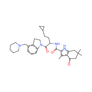 Cc1c(C(=O)NC(CCC2CC2)C(=O)N2CCc3c(CN4CCCCC4)cccc32)[nH]c2c1C(=O)CC(C)(C)C2